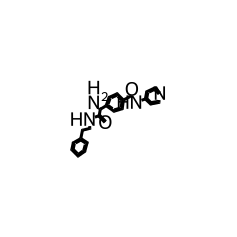 NC(C(=O)NCCc1ccccc1)c1ccc(C(=O)Nc2ccncc2)cc1